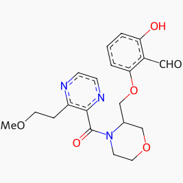 COCCc1nccnc1C(=O)N1CCOCC1COc1cccc(O)c1C=O